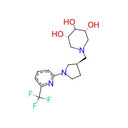 OC1[C@H](O)CN(C[C@H]2CCN(c3cccc(C(F)(F)F)n3)C2)C[C@@H]1O